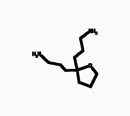 NCCCC1(CCCN)CCCO1